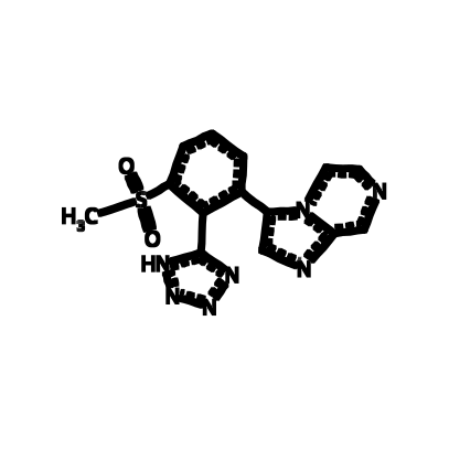 CS(=O)(=O)c1cccc(-c2cnc3cnccn23)c1-c1nnn[nH]1